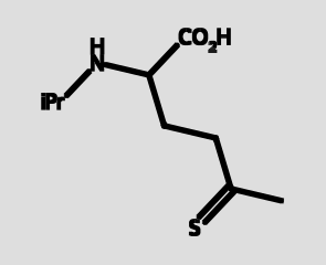 CC(=S)CCC(NC(C)C)C(=O)O